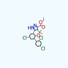 CCOC(=O)c1n[nH]c2c1C(C)(C)Oc1c(-c3ccc(Cl)cc3Cl)cc(Cl)cc1-2